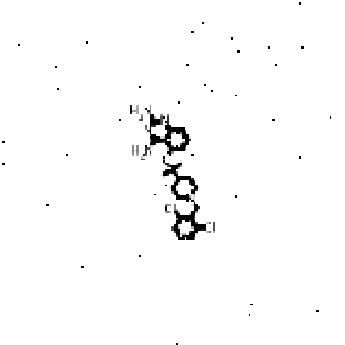 CC(C)(Oc1cccc2nc(N)nc(N)c12)C1CCN(Cc2c(Cl)cccc2Cl)CC1